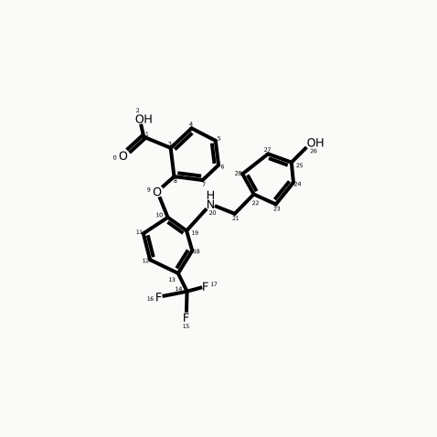 O=C(O)c1ccccc1Oc1ccc(C(F)(F)F)cc1NCc1ccc(O)cc1